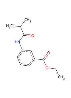 CCOC(=O)c1cccc(NC(=O)C(C)C)c1